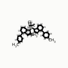 CC1=Cc2c(-c3ccc(C)cc3)cccc2[CH]1[Hf+2]1([CH]2C(C)=Cc3c(-c4ccc(C)cc4)cccc32)[CH2][CH2]1.[Cl-].[Cl-]